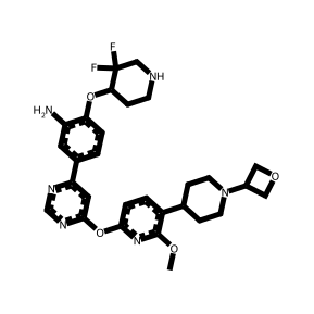 COc1nc(Oc2cc(-c3ccc(OC4CCNCC4(F)F)c(N)c3)ncn2)ccc1C1CCN(C2COC2)CC1